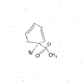 CS(=O)(=O)C1(Br)[CH]C=CC=C1